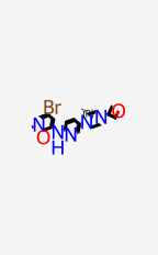 C[C@@H]1CN(C2COC2)CCN1c1ccc(Nc2cc(Br)cn(C)c2=O)nc1